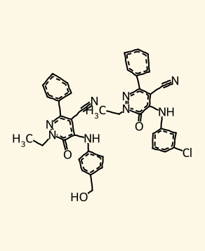 CCn1nc(-c2ccccc2)c(C#N)c(Nc2ccc(CO)cc2)c1=O.CCn1nc(-c2ccccc2)c(C#N)c(Nc2cccc(Cl)c2)c1=O